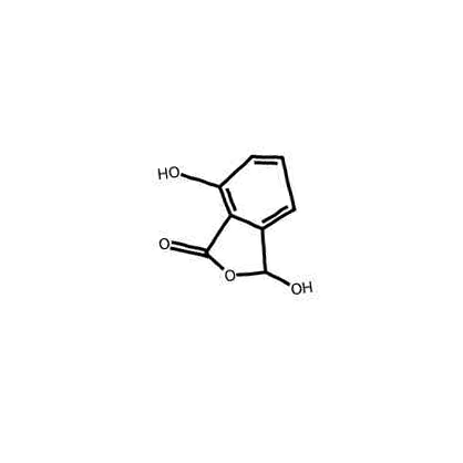 O=C1OC(O)c2cccc(O)c21